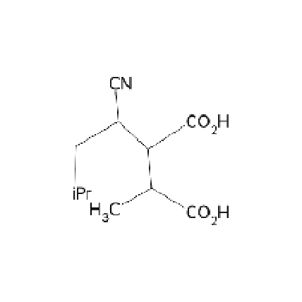 CC(C)CC(C#N)C(C(=O)O)C(C)C(=O)O